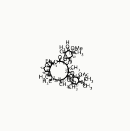 CC[C@H]1OC(=O)[C@H](C)C(O[C@H]2C[C@@](C)(OC)[C@@H](O)[C@H](C)O2)[C@H](C)[C@@H](O[C@@H]2O[C@H](C)C[C@H](N(C)C)[C@H]2OC(C)=O)[C@](C)(O)C[C@@H](C)CN(C)[C@H](C)[C@H]2CCO[C@@]21C